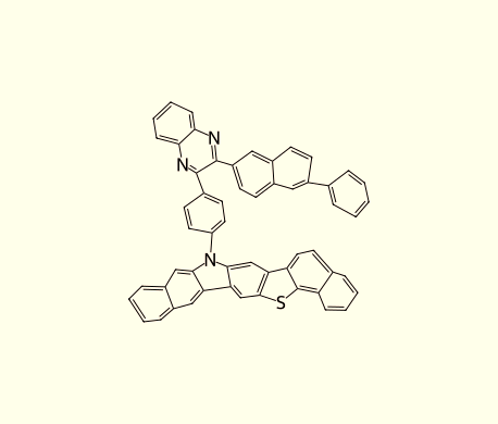 c1ccc(-c2ccc3cc(-c4nc5ccccc5nc4-c4ccc(-n5c6cc7ccccc7cc6c6cc7sc8c9ccccc9ccc8c7cc65)cc4)ccc3c2)cc1